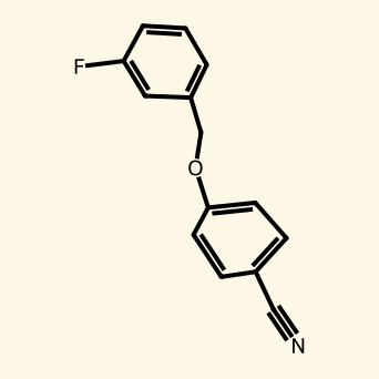 N#Cc1ccc(OCc2cccc(F)c2)cc1